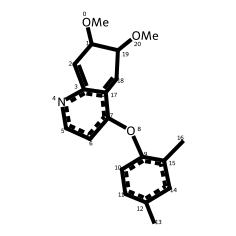 COC1C=c2nccc(Oc3ccc(C)cc3C)c2=CC1OC